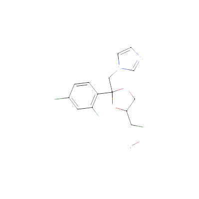 ClCC1COC(Cn2ccnc2)(c2ccc(Cl)cc2Cl)O1.O=[N+]([O-])O